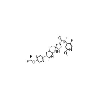 COc1cc([C@@H](C)C(=O)N2CC[C@@]3(CCc4cc(-c5cnc(OC(F)F)cn5)c(C)nc4N3)C2)c(F)cn1